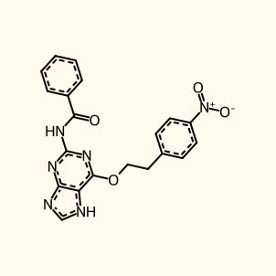 O=C(Nc1nc(OCCc2ccc([N+](=O)[O-])cc2)c2[nH]cnc2n1)c1ccccc1